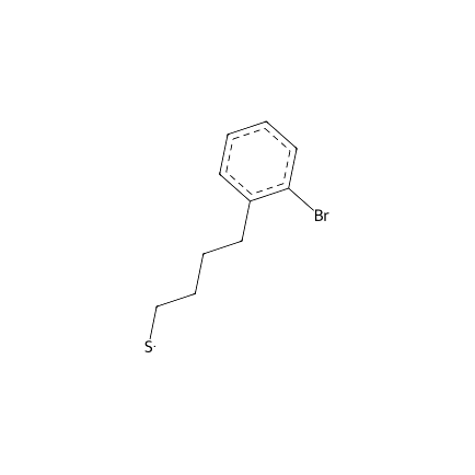 [S]CCCCc1ccccc1Br